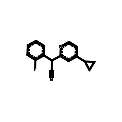 N#CC(c1cc(C2CC2)ccn1)c1ccccc1F